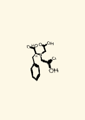 O=C(O)CN(CC(=O)O)[C@@H](Cc1ccccc1)C(=O)O